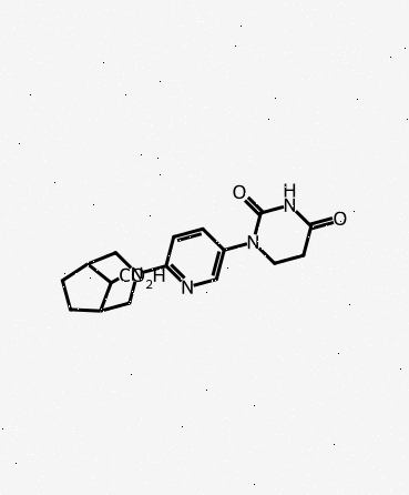 O=C1CCN(c2ccc(N3CC4CCC(C3)C4C(=O)O)nc2)C(=O)N1